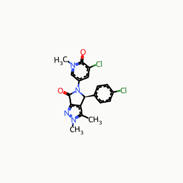 Cc1c2c(nn1C)C(=O)N(c1cc(Cl)c(=O)n(C)c1)[C@H]2c1ccc(Cl)cc1